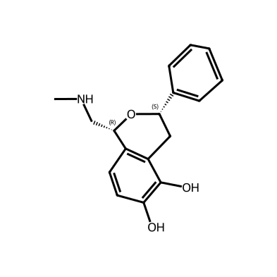 CNC[C@@H]1O[C@H](c2ccccc2)Cc2c1ccc(O)c2O